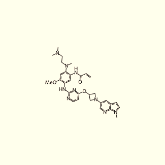 C=CC(=O)Nc1cc(Nc2nccc(OC3CN(c4cnc5c(ccn5C)c4)C3)n2)c(OC)cc1N(C)CCN(C)C